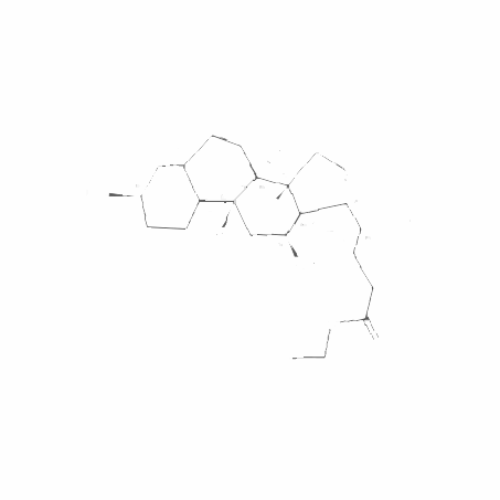 C[C@H](CCC(=O)OCI)[C@H]1CC[C@H]2[C@@H]3CC[C@@H]4C[C@H](O)CC[C@]4(C)[C@H]3C[C@H](O)[C@]12C